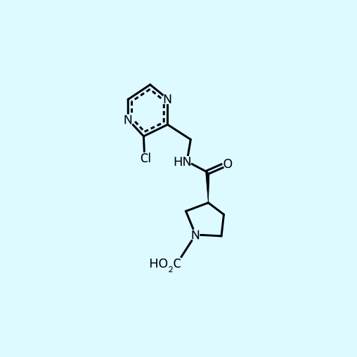 O=C(NCc1nccnc1Cl)[C@H]1CCN(C(=O)O)C1